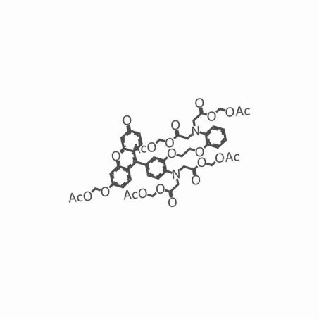 CC(=O)OCOC(=O)CN(CC(=O)OCOC(C)=O)c1ccccc1OCCOc1cc(-c2c3ccc(=O)cc-3oc3cc(OCOC(C)=O)ccc23)ccc1N(CC(=O)OCOC(C)=O)CC(=O)OCOC(C)=O